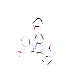 CCC(=O)N[C@H]1CCCC[C@H]1NC(=O)c1sc2nccc3c2c1N(c1ccc(Oc2ccccc2)nc1C)C(=O)N3